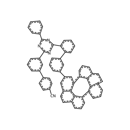 N#Cc1ccc(-c2cccc(-c3nc(-c4ccccc4)nc(-c4ccccc4-c4cccc(-c5cc6ccc7cccc8c9cccc%10ccc%11cccc(c(c5)c6c78)c%11c%109)c4)n3)c2)cc1